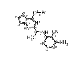 CC(C)Oc1nc([C@H](C)Nc2ncnc(N)c2C#N)nn2cccc12